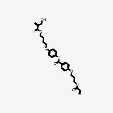 C=CC(=O)OCCCOc1ccc(C(=O)Oc2ccc(OCCCCOC(=O)C(=C)CO)cc2)cc1